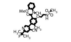 COc1ccccc1N(C)C(=O)c1cc(-c2cnc(C(C)(C)F)cc2C#N)c(C)cc1OCCNS(C)(=O)=O